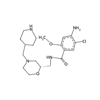 COc1cc(N)c(Cl)cc1C(=O)NC[C@H]1CN(CC2CCNCC2)CCO1